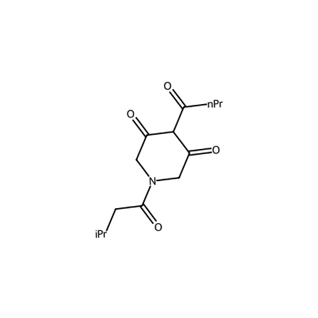 CCCC(=O)C1C(=O)CN(C(=O)CC(C)C)CC1=O